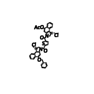 CC(=O)Oc1cc2c(c3ccccc13)[C@H](CCl)CN2C(=O)c1ccc(C(=O)N2C[C@@H](CCl)c3c2cc(OCc2ccccc2)c2ccccc32)s1